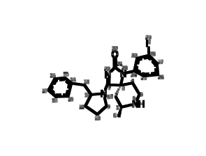 C[C@H]1C[C@]2(CCN1)C(N1CCCC1Cc1ccccc1)=NC(=O)N2c1cccc(F)c1